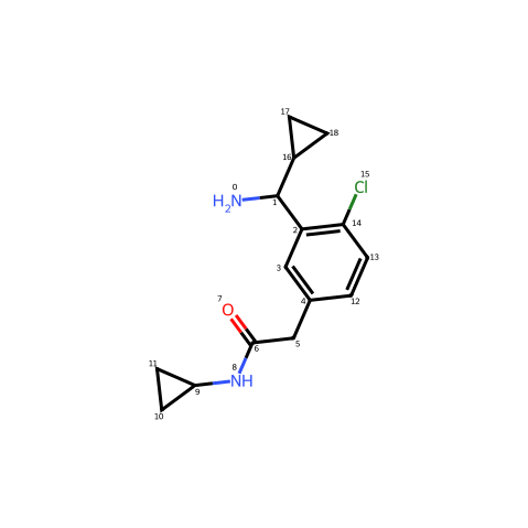 NC(c1cc(CC(=O)NC2CC2)ccc1Cl)C1CC1